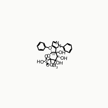 CC1(S(=O)(=O)O)O[C@H](Oc2ccccc2)[C@](O)(c2ccnn2-c2ccccc2)[C@H](O)[C@]1(O)Cl